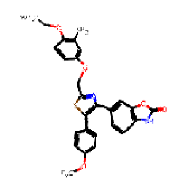 Cc1cc(OCc2nc(-c3ccc4[nH]c(=O)oc4c3)c(-c3ccc(OC(F)(F)F)cc3)s2)ccc1OCC(=O)O